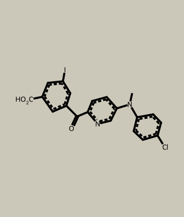 CN(c1ccc(Cl)cc1)c1ccc(C(=O)c2cc(I)cc(C(=O)O)c2)nc1